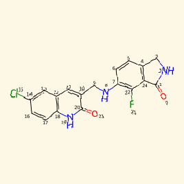 O=C1NCc2ccc(NCc3cc4cc(Cl)ccc4[nH]c3=O)c(F)c21